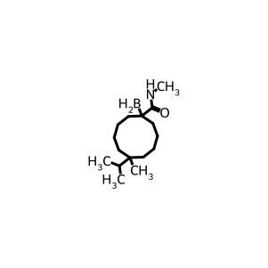 BC1(C(=O)NC)CCCCC(C)(C(C)C)CCCC1